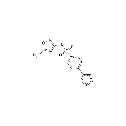 Cc1cc(NS(=O)(=O)c2ccc(-c3ccsc3)cc2)no1